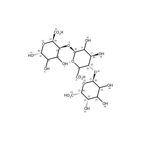 O=C(O)C1O[C@@H](O[C@H]2C(O)C(O)[C@H](O)O[C@H]2C(=O)O)C(O)[C@@H](O)[C@@H]1O[C@@H]1O[C@@H](C(=O)O)[C@@H](O)C(O)C1O